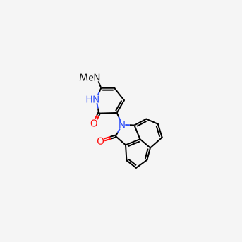 CNc1ccc(N2C(=O)c3cccc4cccc2c34)c(=O)[nH]1